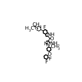 Cc1cc(Oc2cccc(F)c2F)ccc1-n1ncc(C(=O)c2cc3cc(C4CCN(C(C)C)CC4)c(F)cc3[nH]2)c1N